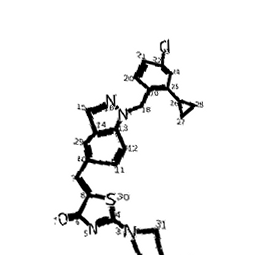 NC1CN(C2=NC(=O)/C(=C/c3ccc4c(cnn4Cc4ccc(Cl)cc4C4CC4)c3)S2)C1